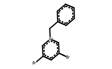 Brc1cc(Br)c[n+](Cc2ccccc2)c1